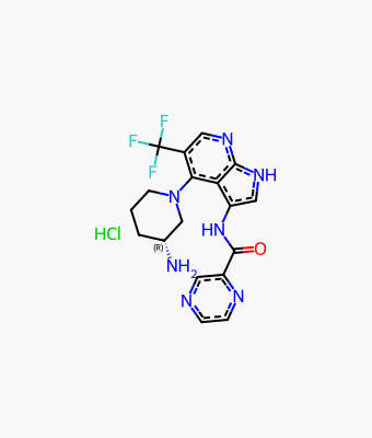 Cl.N[C@@H]1CCCN(c2c(C(F)(F)F)cnc3[nH]cc(NC(=O)c4cnccn4)c23)C1